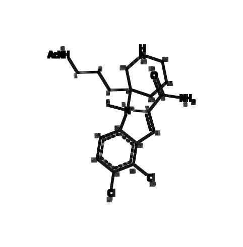 CC(=O)NCCCC1([N+]2(C)C(C(N)=O)=Cc3c2ccc(Cl)c3Cl)CCCNC1